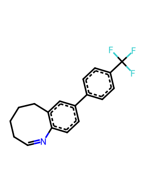 FC(F)(F)c1ccc(-c2ccc3c(c2)CCCCC=N3)cc1